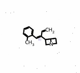 C=C/C(=C\c1ccccc1C)C12CN3CC1C32